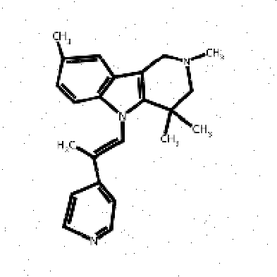 C/C(=C\n1c2c(c3cc(C)ccc31)CN(C)CC2(C)C)c1ccncc1